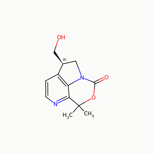 CC1(C)OC(=O)N2C[C@H](CO)c3ccnc1c32